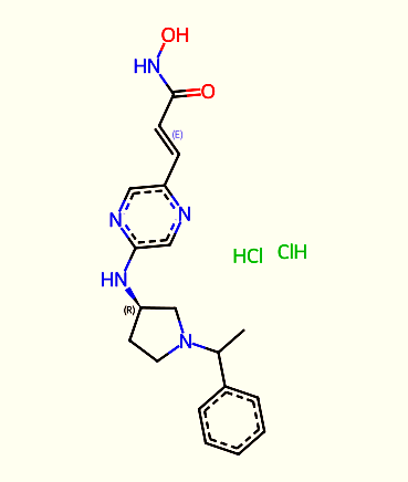 CC(c1ccccc1)N1CC[C@@H](Nc2cnc(/C=C/C(=O)NO)cn2)C1.Cl.Cl